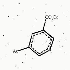 CCOC(=O)c1cccc(C(C)=O)c1